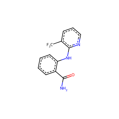 NC(=O)c1ccccc1Nc1ncccc1C(F)(F)F